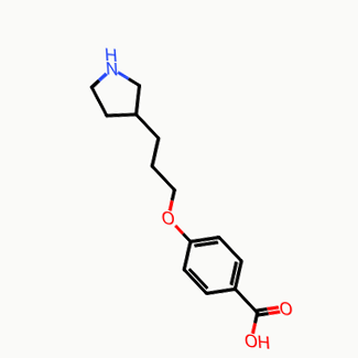 O=C(O)c1ccc(OCCCC2CCNC2)cc1